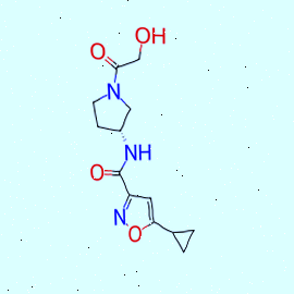 O=C(N[C@@H]1CCN(C(=O)CO)C1)c1cc(C2CC2)on1